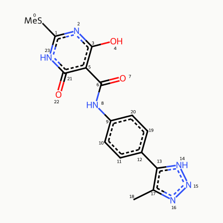 CSc1nc(O)c(C(=O)Nc2ccc(-c3[nH]nnc3C)cc2)c(=O)[nH]1